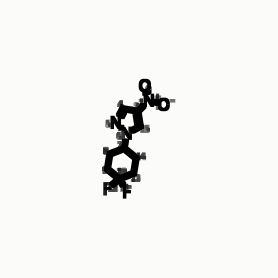 O=[N+]([O-])c1cnn(C2CCC(F)(F)CC2)c1